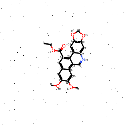 CCOC(=O)c1cc2cc(OC)c(OC)cc2c2cnc3cc4c(cc3c12)OCO4